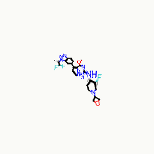 COc1nc(N[C@H]2CCN(C3COC3)C[C@@H]2F)nn2ccc(-c3ccc4nnn([C@@H](C)C(F)F)c4c3)c12